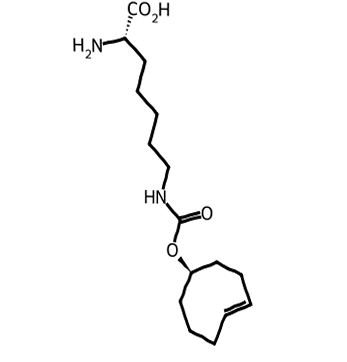 N[C@@H](CCCCCNC(=O)O[C@H]1CC/C=C/CCC1)C(=O)O